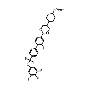 CCCCCC1CCC(C2COC(c3ccc(-c4ccc(C(F)(F)Oc5cc(F)c(F)c(F)c5)cc4)c(F)c3)OC2)CC1